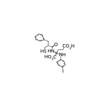 O=C(O)CC[C@@](NC(=O)C(CS)Cc1ccccc1)(Nc1ccc(I)cc1)C(=O)O